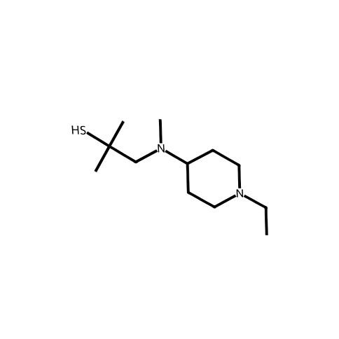 CCN1CCC(N(C)CC(C)(C)S)CC1